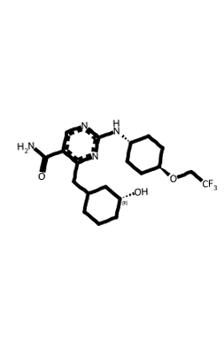 NC(=O)c1cnc(N[C@H]2CC[C@H](OCC(F)(F)F)CC2)nc1CC1CCC[C@@H](O)C1